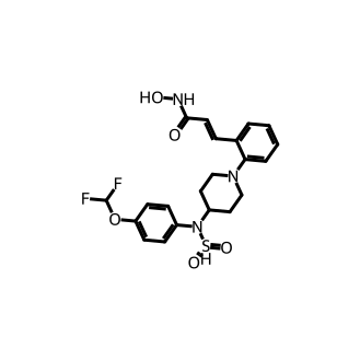 O=C(/C=C/c1ccccc1N1CCC(N(c2ccc(OC(F)F)cc2)[SH](=O)=O)CC1)NO